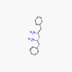 NC(=Cc1ccccc1)CC(N)=Cc1ccccc1